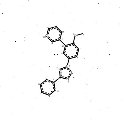 COc1ccc(-n2nnc(-c3ccccn3)n2)cc1-c1cccnc1